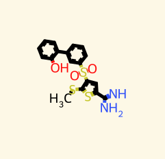 CSc1sc(C(=N)N)cc1S(=O)(=O)c1cccc(-c2ccccc2O)c1